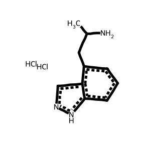 CC(N)Cc1cccc2[nH]ncc12.Cl.Cl